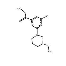 COC(=O)c1cc(Cl)nc(N2CCCC(OC)C2)c1